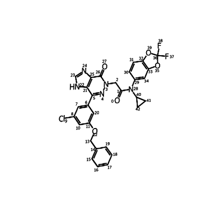 O=C(Cn1nc(-c2cc(Cl)cc(OCc3ccccc3)c2)c2[nH]cnc2c1=O)N(c1ccc2c(c1)OC(F)(F)O2)C1CC1